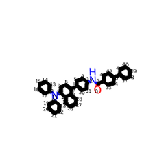 O=C(Nc1ccc(-c2ccc(N(c3ccccc3)c3ccccc3)c3ccccc23)cc1)c1ccc(-c2ccccc2)cc1